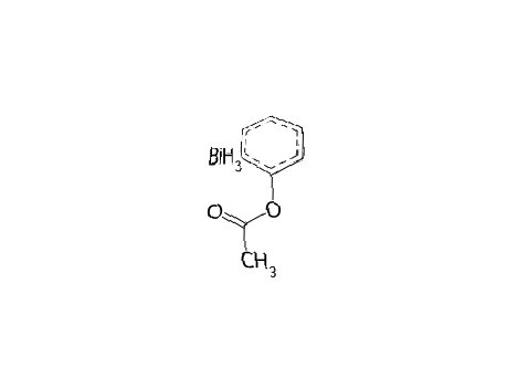 CC(=O)Oc1ccccc1.[BiH3]